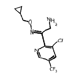 NCC(=NOCC1CC1)c1ncc(C(F)(F)F)cc1Cl